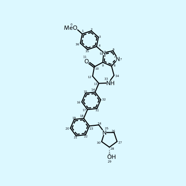 COc1ccc(-n2cnc3c2C(=O)CC(c2ccc(-c4ccccc4CN4CC[C@H](O)C4)cc2)NC3)cc1